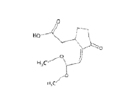 COC(/C=C1/C(=O)CCC1CC(=O)O)OC